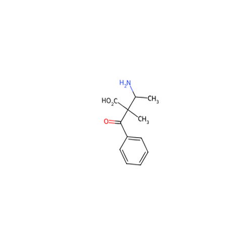 CC(N)C(C)(C(=O)O)C(=O)c1ccccc1